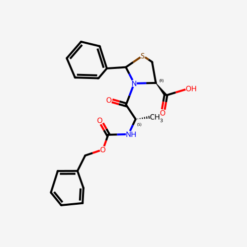 C[C@H](NC(=O)OCc1ccccc1)C(=O)N1C(c2ccccc2)SC[C@H]1C(=O)O